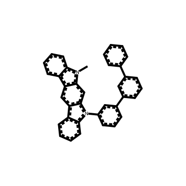 Cn1c2ccccc2c2cc3c4ccccc4n(-c4cccc(-c5cccc(-c6ccccc6)c5)c4)c3cc21